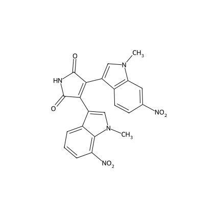 Cn1cc(C2=C(c3cn(C)c4c([N+](=O)[O-])cccc34)C(=O)NC2=O)c2ccc([N+](=O)[O-])cc21